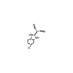 N#CC(C#N)=C1Nc2ccc(Cl)cc2N1